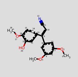 COc1cc(OC)cc(/C(=C/C#N)c2ccc(OC)c(O)c2)c1